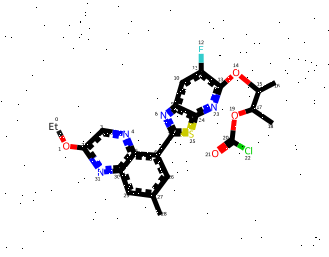 CCOc1cnc2c(-c3nc4cc(F)c(OC(C)C(C)OC(=O)Cl)nc4s3)cc(C)cc2n1